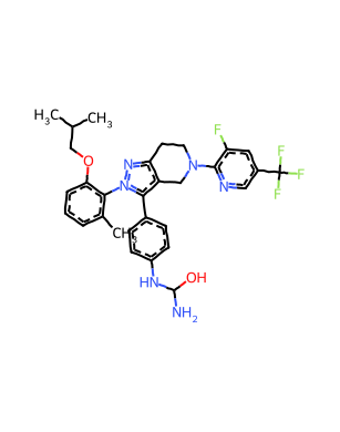 Cc1cccc(OCC(C)C)c1-n1nc2c(c1-c1ccc(NC(N)O)cc1)CN(c1ncc(C(F)(F)F)cc1F)CC2